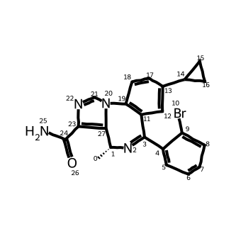 C[C@H]1N=C(c2ccccc2Br)c2cc(C3CC3)ccc2-n2cnc(C(N)=O)c21